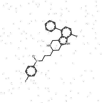 [O-][S+](CCCC1Cc2[nH]c3c(F)ccc(-c4ccccc4)c3c2CN1)c1ccc(F)cc1